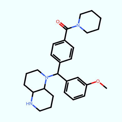 COc1cccc(C(c2ccc(C(=O)N3CCCCC3)cc2)N2CCCC3NCCCC32)c1